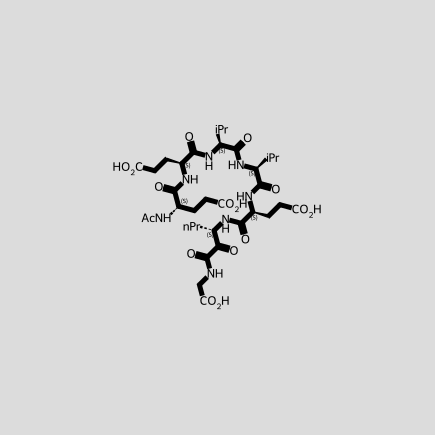 CCC[C@H](NC(=O)[C@H](CCC(=O)O)NC(=O)[C@@H](NC(=O)[C@@H](NC(=O)[C@H](CCC(=O)O)NC(=O)[C@H](CCC(=O)O)NC(C)=O)C(C)C)C(C)C)C(=O)C(=O)NCC(=O)O